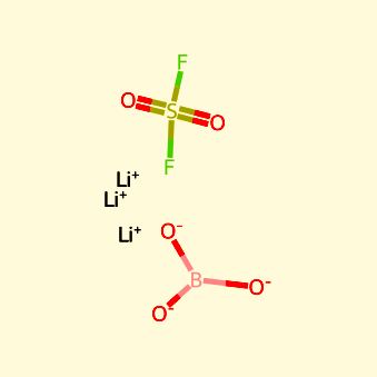 O=S(=O)(F)F.[Li+].[Li+].[Li+].[O-]B([O-])[O-]